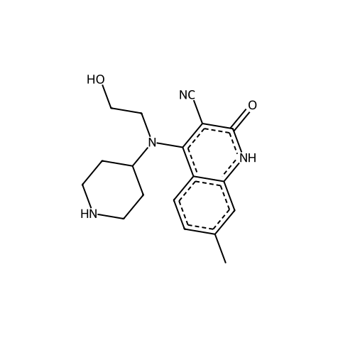 Cc1ccc2c(N(CCO)C3CCNCC3)c(C#N)c(=O)[nH]c2c1